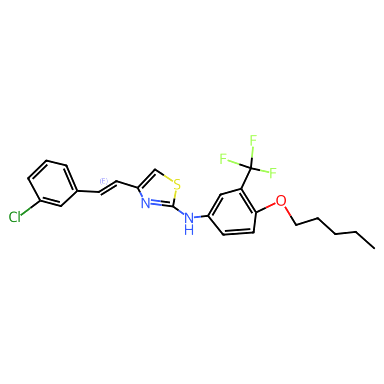 CCCCCOc1ccc(Nc2nc(/C=C/c3cccc(Cl)c3)cs2)cc1C(F)(F)F